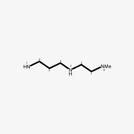 CNCCNCCC[NH]